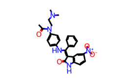 CC(=O)N(CCN(C)C)c1ccc(N/C(=C2\C(=O)Nc3ccc([N+](=O)[O-])cc32)c2ccccc2)cc1